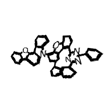 c1ccc(-c2cc(-n3c4ccccc4c4c5oc6ccccc6c5ccc43)c3oc4cccc(-c5nc(-c6ccccc6)nc(-c6ccccc6)n5)c4c3c2)cc1